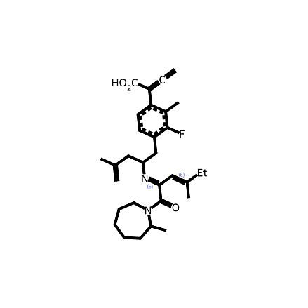 C=C=C(C(=O)O)c1ccc(CC(CC(=C)C)/N=C(\C=C(/C)CC)C(=O)N2CCCCCC2C)c(F)c1C